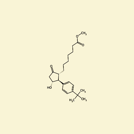 COC(=O)CCCCCC[C@H]1C(=O)C[C@@H](O)[C@@H]1c1ccc(C(C)(C)C)cc1